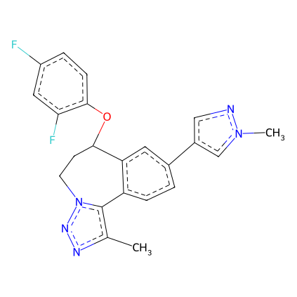 Cc1nnn2c1-c1ccc(-c3cnn(C)c3)cc1C(Oc1ccc(F)cc1F)CC2